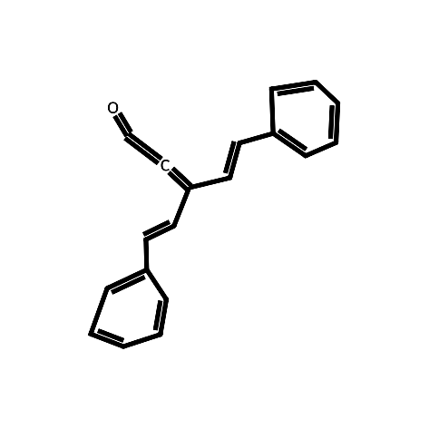 O=C=C=C(C=Cc1ccccc1)C=Cc1ccccc1